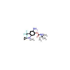 CN(c1cc(OC(=O)NC(C)(C)C)c(N)cc1C(F)(F)F)C1CC1